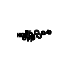 O=C(OC(CS(=O)(=O)O)(C(F)(F)F)C(F)(F)F)c1cccc2c(OCC3CO3)cccc12